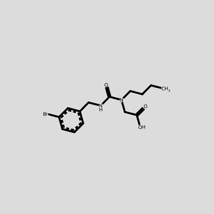 CCCCN(CC(=O)O)C(=O)NCc1cccc(Br)c1